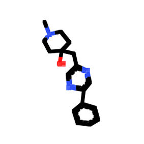 CN1CCC(O)(Cc2cnc(-c3ccccc3)cn2)CC1